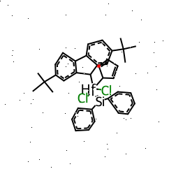 CC(C)(C)c1ccc2c(c1)[CH]([Hf]([Cl])([Cl])([CH]1C=CC=C1)=[Si](c1ccccc1)c1ccccc1)c1cc(C(C)(C)C)ccc1-2